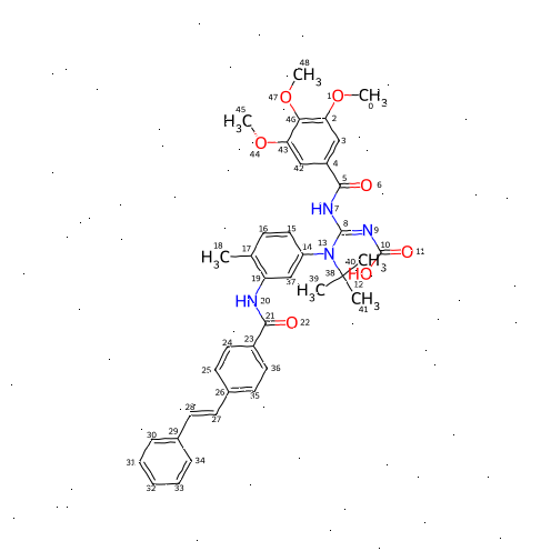 COc1cc(C(=O)NC(=NC(=O)O)N(c2ccc(C)c(NC(=O)c3ccc(C=Cc4ccccc4)cc3)c2)C(C)(C)C)cc(OC)c1OC